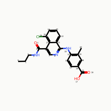 CCCNC(=O)c1cnc(Nc2ccc(C(=O)O)cc2C)c2cccc(Cl)c12